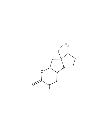 CCC12CCCN1C1CNC(=O)OC1C2